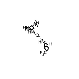 Cc1nncn1-c1cc(NCCOCCCCNCc2cc3cc(C(F)(F)F)ccc3[nH]2)c2cn[nH]c2c1